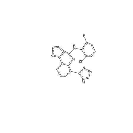 Fc1cccc(Cl)c1Nc1nc2c(-c3nnc[nH]3)cccc2c2sccc12